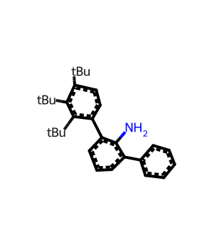 CC(C)(C)c1ccc(-c2cccc(-c3ccccc3)c2N)c(C(C)(C)C)c1C(C)(C)C